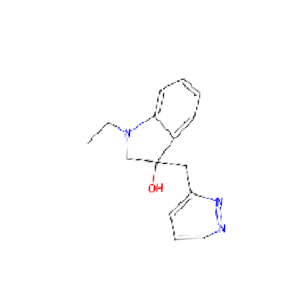 CCN1CC(O)(Cc2cccnn2)c2ccccc21